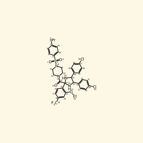 CCCc1ccc(S(=O)(=O)N2CCN(C(=O)C3(c4ccc(C(F)(F)F)cc4OCC)NC(c4ccc(Cl)cc4)C(c4ccc(Cl)cc4)N3)CC2)cc1